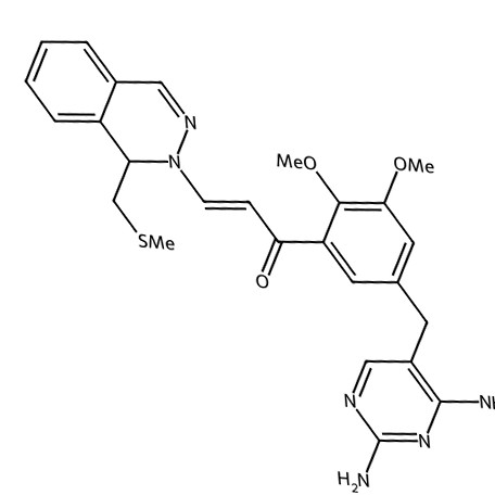 COc1cc(Cc2cnc(N)nc2N)cc(C(=O)C=CN2N=Cc3ccccc3C2CSC)c1OC